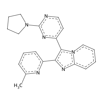 Cc1cccc(-c2nc3ccccn3c2-c2ccnc(N3CCCC3)n2)n1